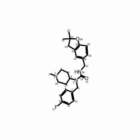 CN1CCC(N(Cc2ccc(F)cc2)C(=O)NCc2ccc3c(c2)CC(C)(C)O3)CC1